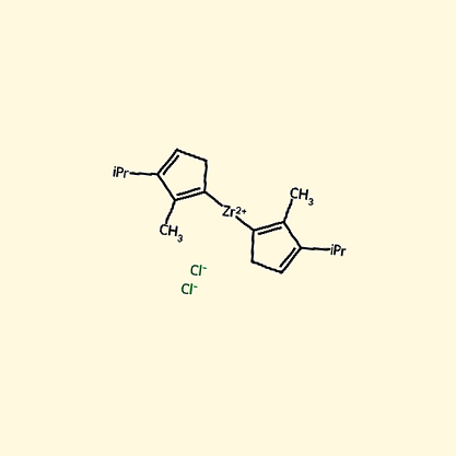 CC1=[C]([Zr+2][C]2=C(C)C(C(C)C)=CC2)CC=C1C(C)C.[Cl-].[Cl-]